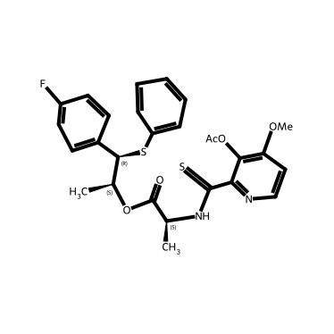 COc1ccnc(C(=S)N[C@@H](C)C(=O)O[C@@H](C)[C@H](Sc2ccccc2)c2ccc(F)cc2)c1OC(C)=O